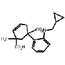 CC1(C(=O)O)C=CCC(C(=O)O)(c2ccccc2NCC2CC2)C1